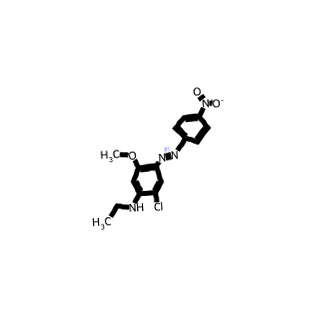 CCNc1cc(OC)c(/N=N/c2ccc([N+](=O)[O-])cc2)cc1Cl